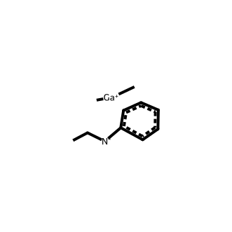 CC[N-]c1ccccc1.[CH3][Ga+][CH3]